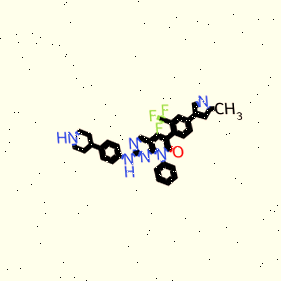 CC1C=C(c2ccc(-c3cc4cnc(Nc5ccc(C6CCNCC6)cc5)nc4n(-c4ccccc4)c3=O)c(C(F)(F)F)c2)C=N1